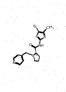 CCc1nc(NC(=O)[C@H]2CCCN2Cc2ccncc2)sc1C